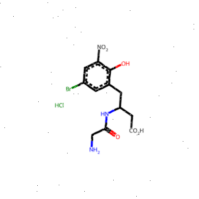 Cl.NCC(=O)NC(CC(=O)O)Cc1cc(Br)cc([N+](=O)[O-])c1O